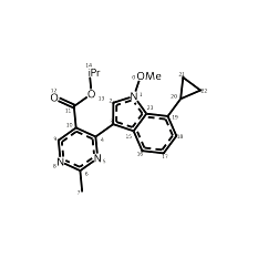 COn1cc(-c2nc(C)ncc2C(=O)OC(C)C)c2cccc(C3CC3)c21